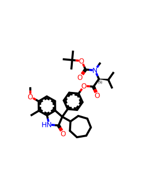 COc1ccc2c(c1C)NC(=O)C2(c1ccc(OC(=O)[C@H](C(C)C)N(C)C(=O)OC(C)(C)C)cc1)C1CCCCCC1